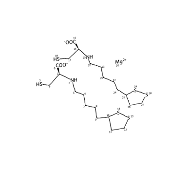 O=C([O-])[C@H](CS)NCCCCCC1CCSS1.O=C([O-])[C@H](CS)NCCCCCC1CCSS1.[Mg+2]